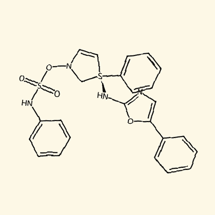 O=S(=O)(Nc1ccccc1)ON1C=C[S@](Nc2ncc(-c3ccccc3)o2)(c2ccccc2)C1